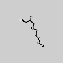 CCOOCCOCC(CC)CO